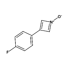 [O-][N+]1=CC(c2ccc(F)cc2)=C1